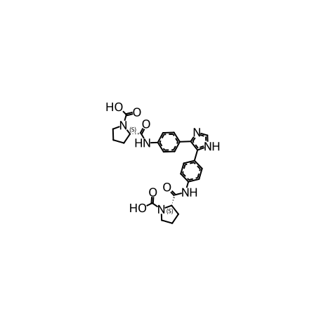 O=C(Nc1ccc(-c2nc[nH]c2-c2ccc(NC(=O)[C@@H]3CCCN3C(=O)O)cc2)cc1)[C@@H]1CCCN1C(=O)O